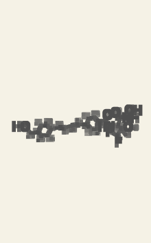 COC(C)(C(F)F)[C@H](NC(=O)c1ccc(C#CC#Cc2ccc(CO)cc2)cc1)C(=O)NO